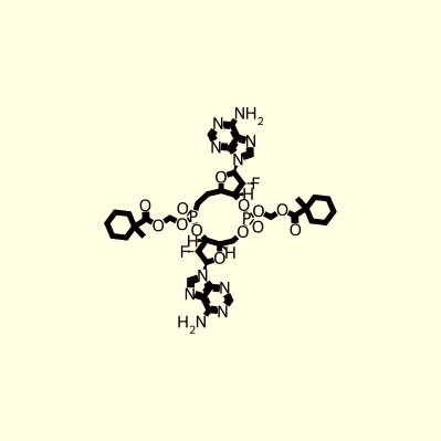 CC1(C(=O)OCOP2(=O)CCC3O[C@@H](n4cnc5c(N)ncnc54)[C@H](F)[C@@H]3OP(=O)(OCOC(=O)C3(C)CCCCC3)OC[C@H]3O[C@@H](n4cnc5c(N)ncnc54)[C@H](F)[C@@H]3O2)CCCCC1